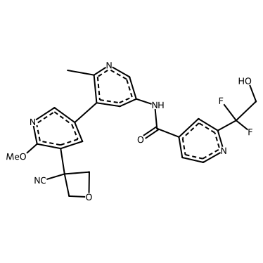 COc1ncc(-c2cc(NC(=O)c3ccnc(C(F)(F)CO)c3)cnc2C)cc1C1(C#N)COC1